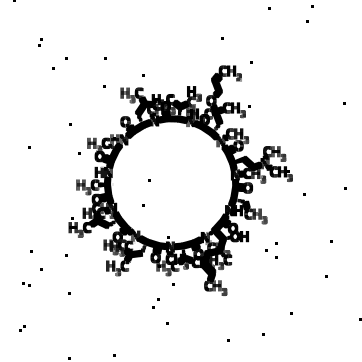 C=CCOC(C)(C)C[C@H]1C(=O)N[C@@H](C(C)C)C(=O)N(C)[C@@H](CC(C)C)C(=O)N[C@@H](C)C(=O)N[C@H](C)C(=O)N(C)[C@@H](CC(C)C)C(=O)N(C)[C@@H](CC(C)C)C(=O)N(C)[C@@H](C(C)C)C(=O)N(C)[C@@H]([C@H](O)[C@H](C)C/C=C/C)C(=O)N[C@@H](CC)C(=O)N(C)[C@H](CCN(C)C)C(=O)N1C